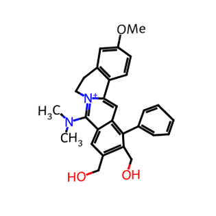 COc1ccc2c(c1)CC[n+]1c-2cc2c(-c3ccccc3)c(CO)c(CO)cc2c1N(C)C